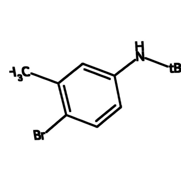 Cc1cc(NC(C)(C)C)ccc1Br